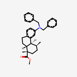 COC(=O)[C@@]1(C)CC[C@H](C)[C@@H]2c3cc(N(Cc4ccccc4)Cc4ccccc4)ccc3CC[C@H]21